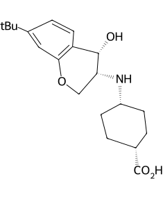 CC(C)(C)c1ccc2c(c1)OC[C@@H](N[C@H]1CC[C@@H](C(=O)O)CC1)[C@H]2O